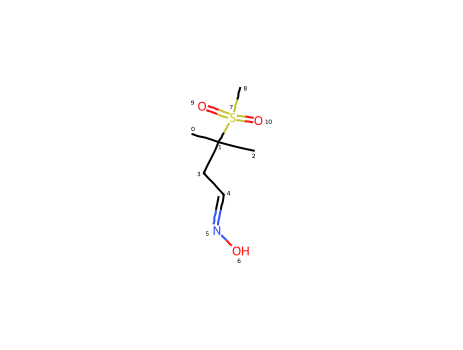 CC(C)(CC=NO)S(C)(=O)=O